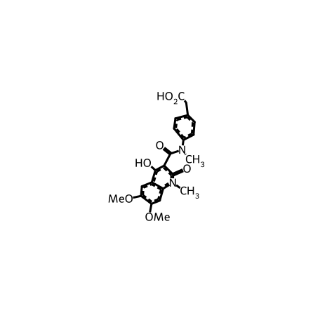 COc1cc2c(O)c(C(=O)N(C)c3ccc(CC(=O)O)cc3)c(=O)n(C)c2cc1OC